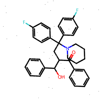 O=C(c1ccccc1)C(CC(c1ccc(F)cc1)(c1ccc(F)cc1)N1CCCCC1)C(O)c1ccccc1